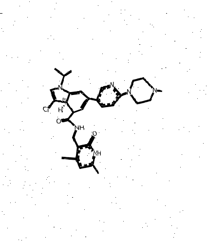 Cc1cc(C)c(CNC(=O)C2C=C(c3ccc(N4CCN(C)CC4)nc3)C=C3[C@@H]2C(Cl)=CN3C(C)C)c(=O)[nH]1